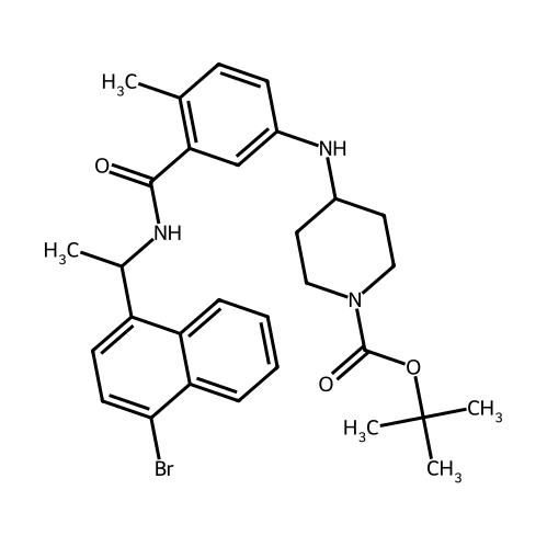 Cc1ccc(NC2CCN(C(=O)OC(C)(C)C)CC2)cc1C(=O)NC(C)c1ccc(Br)c2ccccc12